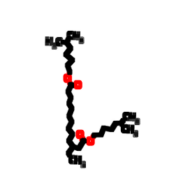 CCC(CCCCCCCCCC(=O)OCCCCCC(C)C)CC(=O)OCCCCCC(C)C